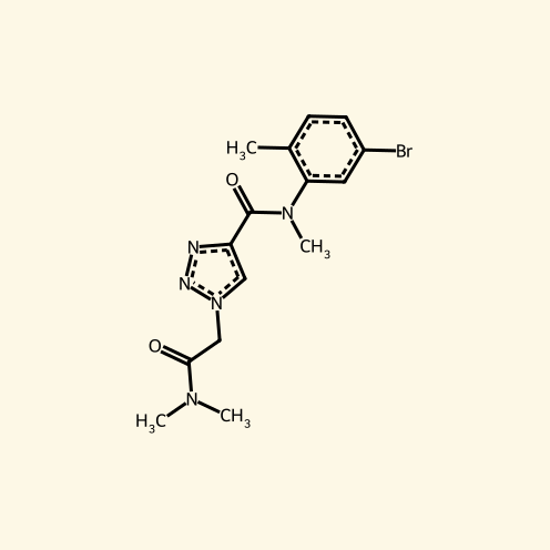 Cc1ccc(Br)cc1N(C)C(=O)c1cn(CC(=O)N(C)C)nn1